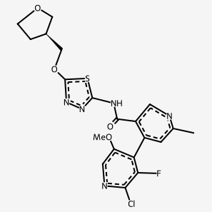 COc1cnc(Cl)c(F)c1-c1cc(C)ncc1C(=O)Nc1nnc(OC[C@H]2CCOC2)s1